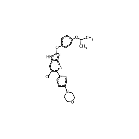 CC(C)Oc1ccc(Oc2nc3nc(-c4ccc(N5CCOCC5)cc4)c(Cl)cc3[nH]2)cc1